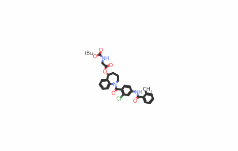 Cc1ccccc1C(=O)Nc1ccc(C(=O)N2CCCC(OC(=O)CNC(=O)OC(C)(C)C)c3ccccc32)c(Cl)c1